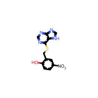 O=[N+]([O-])c1ccc(O)c(CSc2ncnc3nc[nH]c23)c1